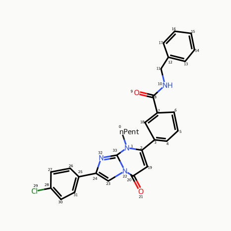 CCCCCn1c(-c2cccc(C(=O)NCc3ccccc3)c2)cc(=O)n2cc(-c3ccc(Cl)cc3)nc12